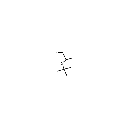 [CH2]CC(C)SC(C)(C)C